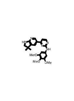 COc1cc(Nc2nccc(-c3cnc4c(c3)C(C)(C)CN4)n2)cc(OC)c1OC